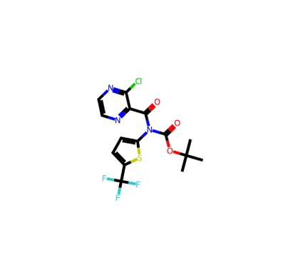 CC(C)(C)OC(=O)N(C(=O)c1nccnc1Cl)c1ccc(C(F)(F)F)s1